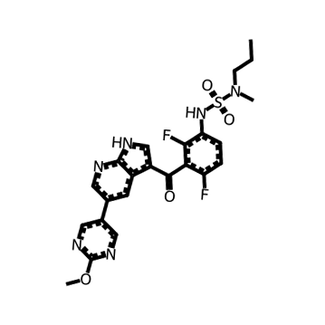 CCCN(C)S(=O)(=O)Nc1ccc(F)c(C(=O)c2c[nH]c3ncc(-c4cnc(OC)nc4)cc23)c1F